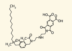 CCCCCCCCCCCC[N+](C)(C)Cc1ccc(CN(CCNCCN2C(=O)c3cc(C(=O)O)c(C(=O)O)cc3C2=O)C(C)=O)cc1